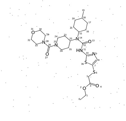 CCOC(=O)CSc1cnc(NC(=O)N(C2CCC(C)CC2)C2CCN(C(=O)N3CCOCC3)CC2)s1